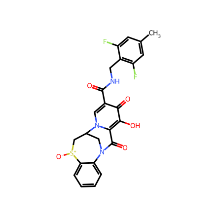 Cc1cc(F)c(CNC(=O)c2cn3c(c(O)c2=O)C(=O)N2CC3C[S+]([O-])c3ccccc32)c(F)c1